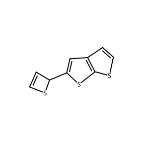 C1=CC(c2cc3ccsc3s2)S1